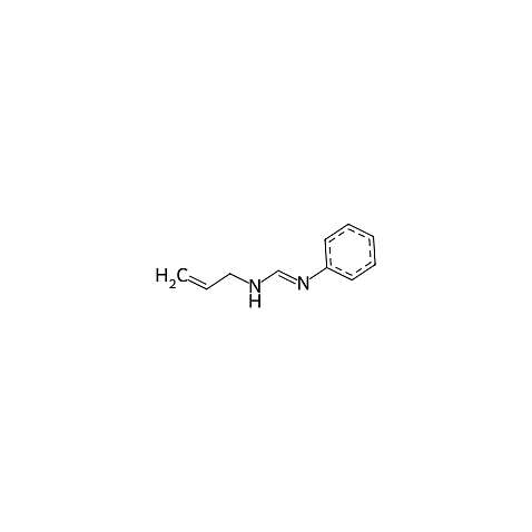 C=CCNC=Nc1ccccc1